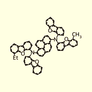 CCc1cccc2c1oc1c(N(c3ccc4ccc5c(N(c6cccc7c6oc6ccccc67)c6cccc7c6oc6c(C)cccc67)ccc6ccc3c4c65)c3cccc4c3oc3ccccc34)cccc12